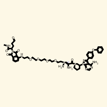 CNC(=O)C(CCC=O)N1C(=O)c2cccc(NCCOCCOCCOCCOCCN(N)/C=C(\N)C(=O)N3CCCC(n4nc(-c5ccc(Oc6ccccc6)cc5)c5c(N)ncnc54)C3)c2C1=O